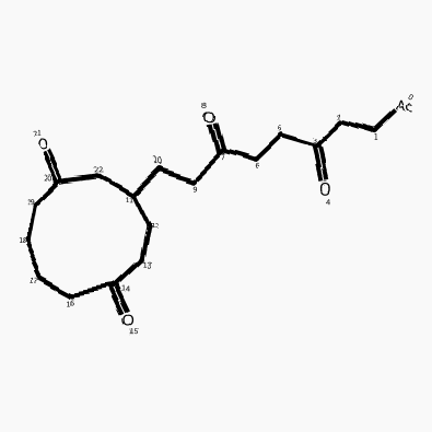 CC(=O)CCC(=O)CCC(=O)CCC1CCC(=O)CCCCC(=O)C1